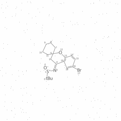 CC(C)(C)[S+]([O-])N=C1CC2(CCCCC2)Oc2ccc(Br)cc21